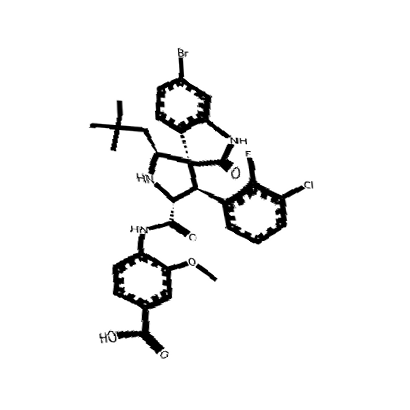 COc1cc(C(=O)O)ccc1NC(=O)[C@@H]1N[C@@H](CC(C)(C)C)[C@@]2(C(=O)Nc3cc(Br)ccc32)[C@H]1c1cccc(Cl)c1F